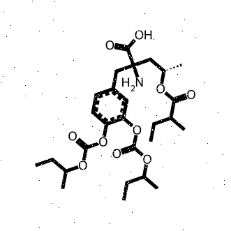 CCC(C)OC(=O)Oc1ccc(CC(N)(C[C@H](C)OC(=O)C(C)CC)C(=O)O)cc1OC(=O)OC(C)CC